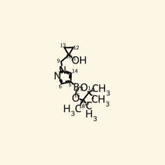 CC1(C)OB(c2cnn(CC3(O)CC3)c2)OC1(C)C